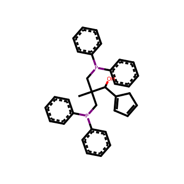 CC(CP(c1ccccc1)c1ccccc1)(CP(c1ccccc1)c1ccccc1)C(O)C1=CC=CC1